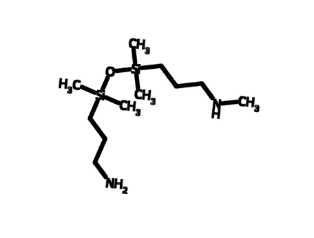 CNCCC[Si](C)(C)O[Si](C)(C)CCCN